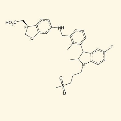 Cc1c(CNc2ccc3c(c2)OC[C@H]3CC(=O)O)cccc1C1c2cc(F)ccc2N(CCCS(C)(=O)=O)C1C